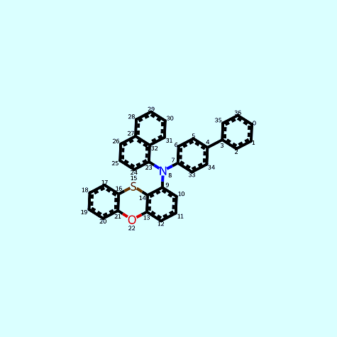 c1ccc(-c2ccc(N(c3cccc4c3Sc3ccccc3O4)c3cccc4ccccc34)cc2)cc1